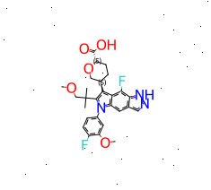 COCC(C)(C)c1c([C@@H]2CC[C@@H](C(=O)O)OC2)c2c(F)c3[nH]ncc3cc2n1-c1ccc(F)c(OC)c1